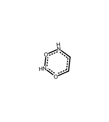 c1co[nH]o[nH]1